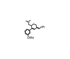 CCC/C=C1/C=C(c2cccc(OC)c2)C(CN(C)C)CC1